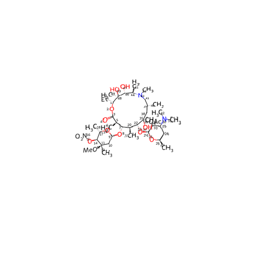 CC[C@H]1OC(=O)[C@H](C)[C@@H](O[C@H]2C[C@@](C)(OC)[C@@H](O[N+](=O)[O-])[C@H](C)O2)[C@H](C)[C@@H](O[C@@H]2O[C@H](C)CC(N(C)C)[C@H]2OC(C)=O)[C@](C)(O)C[C@@H](C)CN(C)[C@H](C)[C@@H](O)[C@]1(C)O